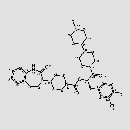 Cc1ccc(C[C@@H](OC(=O)N2CCC(N3CCc4ccccc4NC3=O)CC2)C(=O)N2CCC(C3CCN(C)CC3)CC2)cc1Cl